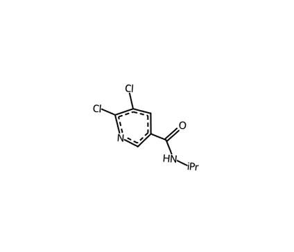 CC(C)NC(=O)c1cnc(Cl)c(Cl)c1